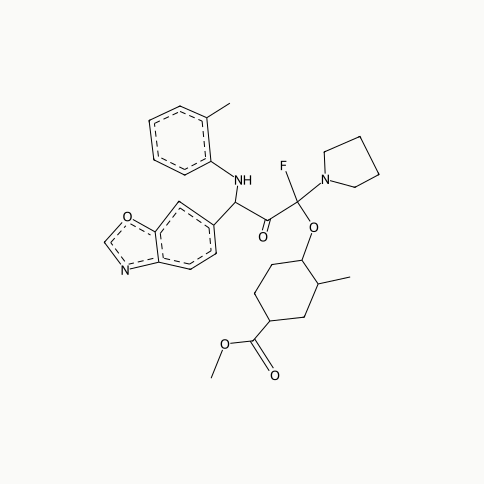 COC(=O)C1CCC(OC(F)(C(=O)C(Nc2ccccc2C)c2ccc3ncoc3c2)N2CCCC2)C(C)C1